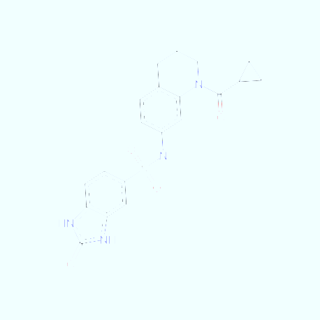 O=C(C1CC1)N1CCCc2ccc(NS(=O)(=O)c3ccc4[nH]c(=O)[nH]c4c3)cc21